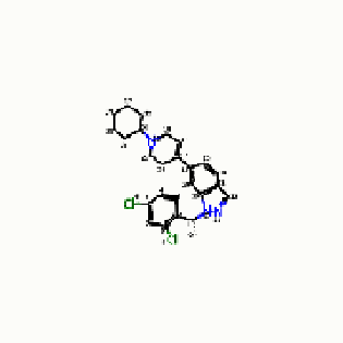 C[C@H](c1ccc(Cl)cc1Cl)n1ncc2ccc(C3=CCN(C4CCCCC4)CC3)cc21